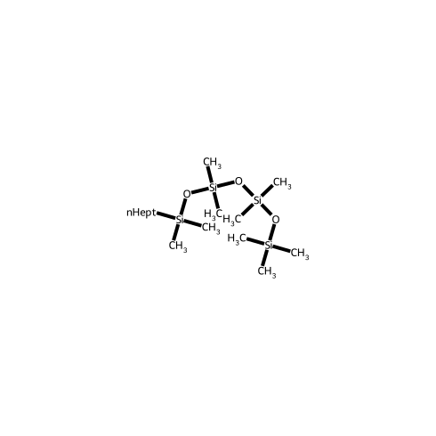 CCCCCCC[Si](C)(C)O[Si](C)(C)O[Si](C)(C)O[Si](C)(C)C